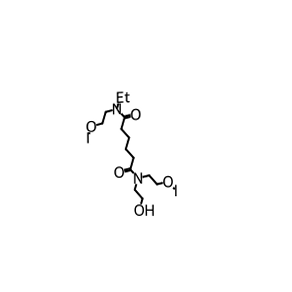 CCN(CCOI)C(=O)CCCCC(=O)N(CCO)CCOI